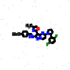 COc1ccc(CNc2nn3ccc(N4CCCC4c4cc(F)ccc4F)nc3c2-c2nc(C)co2)cc1